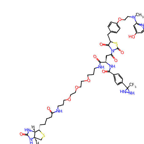 CN(CCOc1ccc(CC2SC(=O)N(C(=O)C[C@@H](NC(=O)c3ccc(C4(C(F)(F)F)NN4)cc3)C(=O)NCCCOCCOCCOCCCNC(=O)CCCC[C@@H]3SC[C@@H]4NC(=O)N[C@@H]43)C2=O)cc1)c1cc(O)ccn1